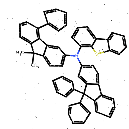 CC1(C)c2ccc(N(c3ccc4c(c3)C(c3ccccc3)(c3ccccc3)c3ccccc3-4)c3cccc4c3sc3ccccc34)cc2-c2c(-c3ccccc3)cccc21